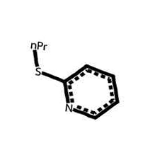 CCCSc1ccccn1